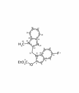 CCOC(=O)Oc1cc2cc(F)ccc2n1Cc1nc2ccccc2n1C